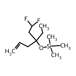 C=CCC(CC)(CC(F)F)O[Si](C)(C)C